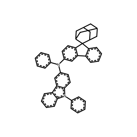 c1ccc(N(c2ccc3c(c2)-c2ccccc2C32C3CC4CC(C3)CC2C4)c2ccc3c(c2)c2ccccc2n3-c2ccccc2)cc1